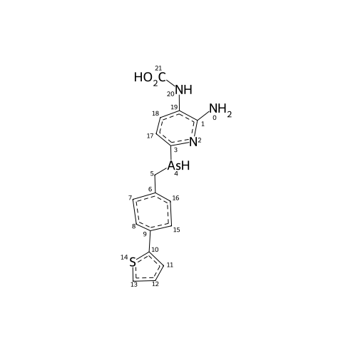 Nc1nc([AsH]Cc2ccc(-c3cccs3)cc2)ccc1NC(=O)O